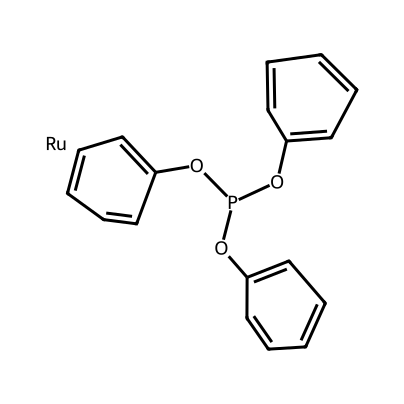 [Ru].c1ccc(OP(Oc2ccccc2)Oc2ccccc2)cc1